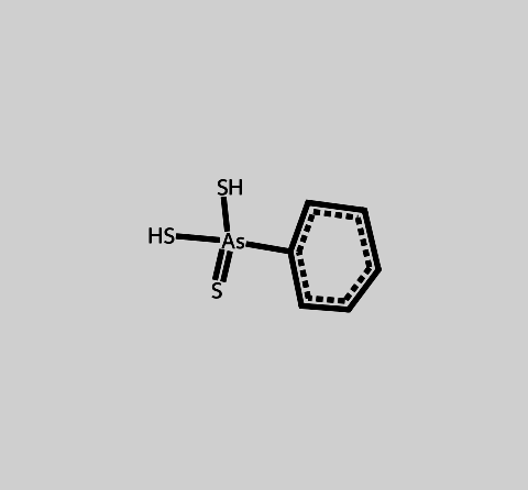 S=[As](S)(S)c1ccccc1